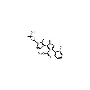 COC(=O)c1c(-c2ccccc2Cl)c[nH]c1-c1cnn(C2CC(C)(O)C2)c1C